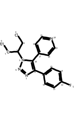 CCOC(CCl)n1nnc(-c2ccc(F)cc2)c1-c1ccncc1